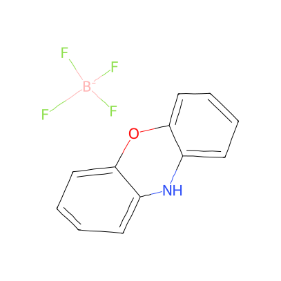 F[B-](F)(F)F.c1ccc2c(c1)Nc1ccccc1O2